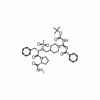 CC(C)(C)OC(=O)NC(=NC(=O)c1ccccc1)N1CCC(CN([C@H](Cc2ccccc2)C(=O)N2CCC[C@H]2C(N)=O)S(C)(=O)=O)CC1